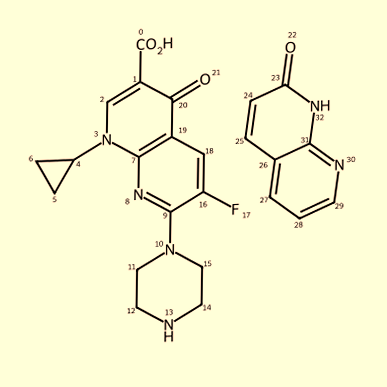 O=C(O)c1cn(C2CC2)c2nc(N3CCNCC3)c(F)cc2c1=O.O=c1ccc2cccnc2[nH]1